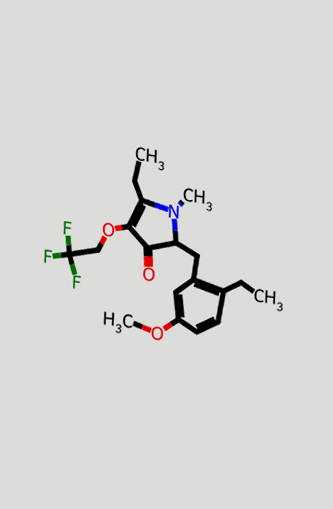 CCC1=C(OCC(F)(F)F)C(=O)C(Cc2cc(OC)ccc2CC)N1C